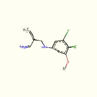 C=C(C=N)CNc1cc(F)c(F)c(OC(C)C)c1